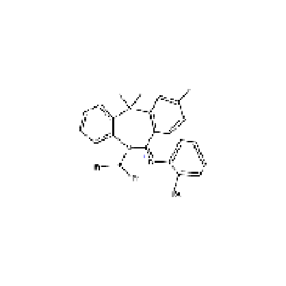 Cc1ccc2c(c1)C(C)(C)c1ccccc1N(P(C(C)C)C(C)C)/C2=N/c1ccccc1C(C)(C)C